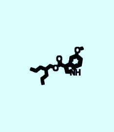 CCCC(CCC)COC(=O)c1c[nH]c2ccc(OC)cc12